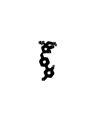 C[C@@]1(CN)C[C@@H](Cc2ccc(-c3cc(Cl)ccc3F)cc2)NC1=O